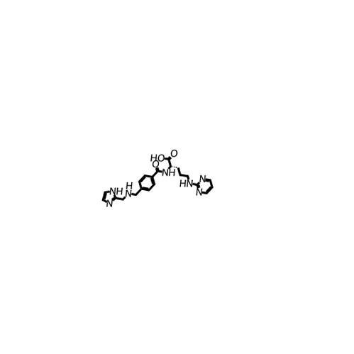 O=C(N[C@@H](CCCNc1ncccn1)C(=O)O)c1ccc(CNCc2ncc[nH]2)cc1